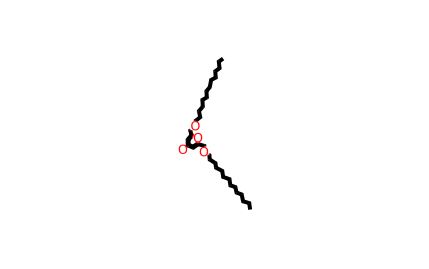 CCCCCCCCCCCCCCOCc1cc(=O)cc(COCCCCCCCCCCCCCC)o1